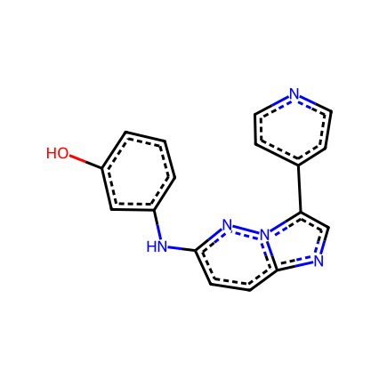 Oc1cccc(Nc2ccc3ncc(-c4ccncc4)n3n2)c1